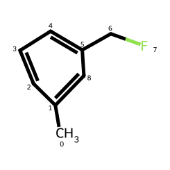 Cc1c[c]cc(CF)c1